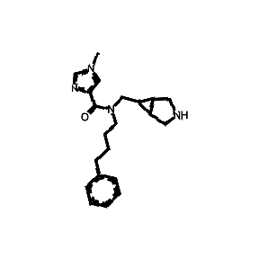 Cn1cnc(C(=O)N(CCCCc2ccccc2)CC2C3CNCC32)c1